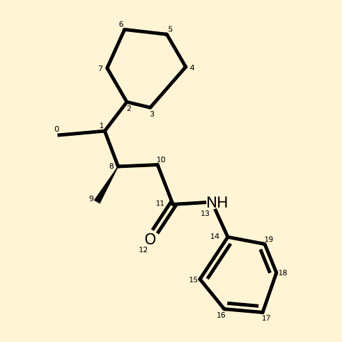 CC(C1CCCCC1)[C@H](C)CC(=O)Nc1ccccc1